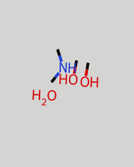 CNC.CO.CO.O